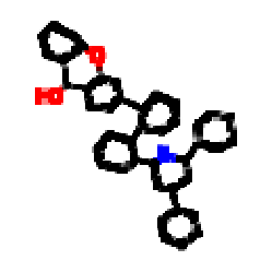 OC1c2ccccc2Oc2cc(-c3ccccc3-c3ccccc3-c3cc(-c4ccccc4)cc(-c4ccccc4)n3)ccc21